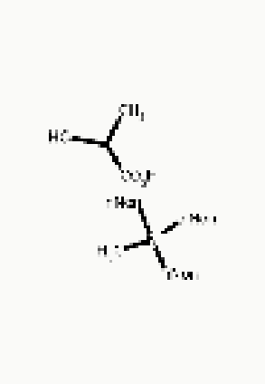 CC(O)C(=O)O.CCCCCCCCC[N+](C)(CCCCCCCCC)CCCCCCCCC